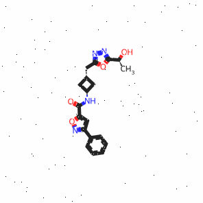 C[C@@H](O)c1nnc(C[C@H]2C[C@@H](NC(=O)c3cc(-c4ccccc4)no3)C2)o1